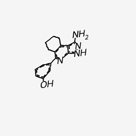 Nc1n[nH]c2nc(-c3cccc(O)c3)c3c(c12)CCCC3